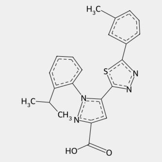 Cc1cccc(-c2nnc(-c3cc(C(=O)O)nn3-c3ccccc3C(C)C)s2)c1